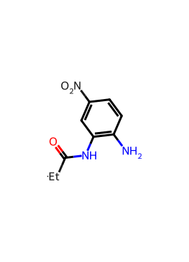 C[CH]C(=O)Nc1cc([N+](=O)[O-])ccc1N